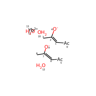 CC(=O)/C=C(/C)[O-].CC(=O)/C=C(/C)[O-].O.O.O.[Yb+2]